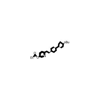 CCCC[C@H]1CC[C@H]([C@H]2CC[C@H](CCc3ccc(OC(=O)CC)cn3)CC2)CC1